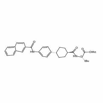 COC(=O)[C@@H](NC(=O)[C@H]1CC[C@H](c2ccc(NC(=O)c3ccc4ccccc4c3)cc2)CC1)C(C)(C)C